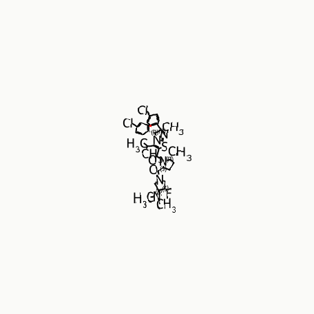 CC(C)C1=C(C(=O)N2[C@H](C)CC[C@H]2C(=O)N2C[C@H](F)[C@@H](N(C)C)C2)SC2=N[C@@](C)(c3ccc(Cl)cc3)[C@@H](c3ccc(Cl)cc3)N21